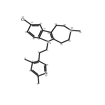 Cc1cc(C)c(CCn2c3c(c4cc(Cl)ccc42)CCN(C)CC3)cn1